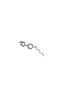 CCCCCOc1ccc(-c2cn[nH]c2)cc1